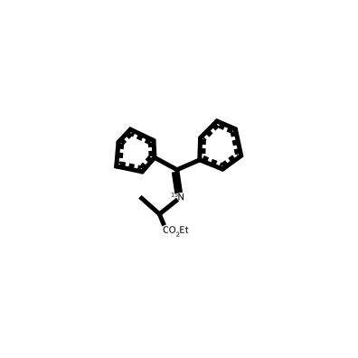 CCOC(=O)C(C)[15N]=C(c1ccccc1)c1ccccc1